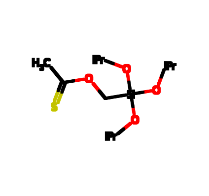 CC(=S)OC[Si](OC(C)C)(OC(C)C)OC(C)C